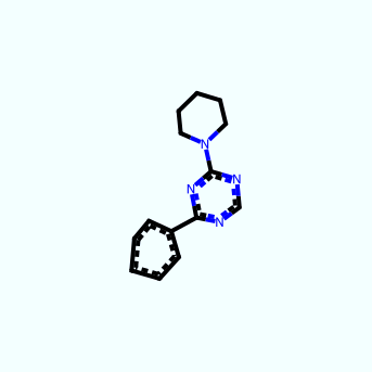 c1ccc(-c2ncnc(N3CCCCC3)n2)cc1